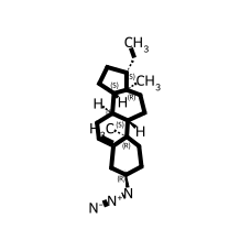 CC[C@H]1CC[C@H]2[C@@H]3CC=C4C[C@H](N=[N+]=[N-])CC[C@]4(C)[C@H]3CC[C@]12C